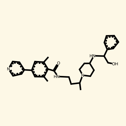 Cc1cc(-c2ccncc2)cc(C)c1C(=O)NCCC(C)N1CCC(NC(CO)c2ccccc2)CC1